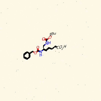 CC(C)(C)OC(=O)NC[C@@H](C=CCCC(=O)O)NC(=O)OCc1ccccc1